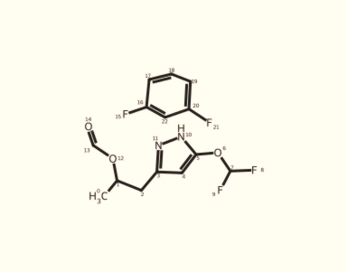 CC(Cc1cc(OC(F)F)[nH]n1)OC=O.Fc1cccc(F)c1